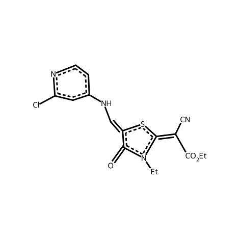 CCOC(=O)C(C#N)=c1sc(=CNc2ccnc(Cl)c2)c(=O)n1CC